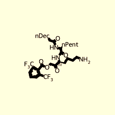 CCCCCCCCCCCC(=O)N[C@@H](CCCCC)C(=O)N[C@@H](CCCCN)C(=O)COC(=O)c1c(C(F)(F)F)cccc1C(F)(F)F